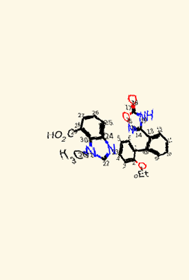 CCOc1ccccc1-c1ccccc1-c1noc(=O)[nH]1.Cn1cnc2cccc(C(=O)O)c21